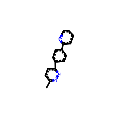 Cc1ccc(-c2ccc(-c3ccccn3)cc2)nn1